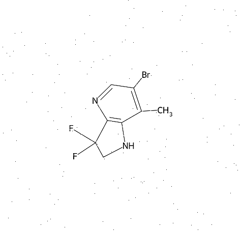 Cc1c(Br)cnc2c1NCC2(F)F